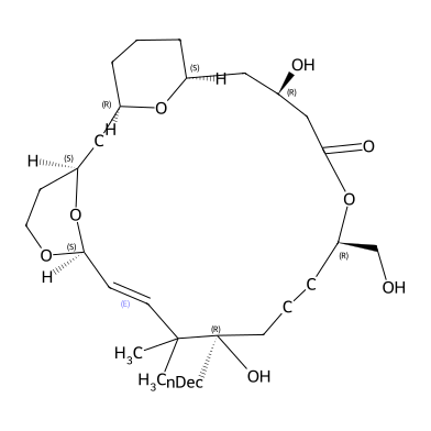 CCCCCCCCCC[C@@]1(O)CCC[C@H](CO)OC(=O)C[C@H](O)C[C@@H]2CCC[C@H](C[C@@H]3CCO[C@H](/C=C/C1(C)C)O3)O2